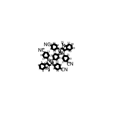 Cn1c2c(c3ccccc31)N(c1ccc(C#N)cc1)B(c1ccc(B3N(c4ccc(C#N)cc4)c4c(n(C)c5ccccc45)N3c3ccc(C#N)cc3)cc1)N2c1ccc(C#N)cc1